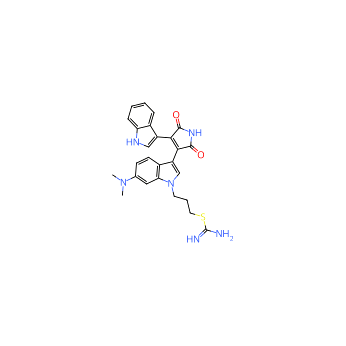 CN(C)c1ccc2c(C3=C(c4c[nH]c5ccccc45)C(=O)NC3=O)cn(CCCSC(=N)N)c2c1